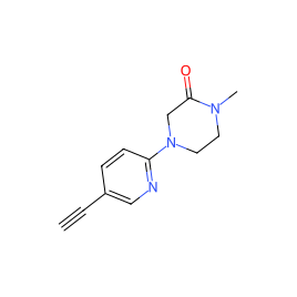 C#Cc1ccc(N2CCN(C)C(=O)C2)nc1